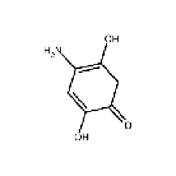 NC1=C(O)CC(=O)C(O)=C1